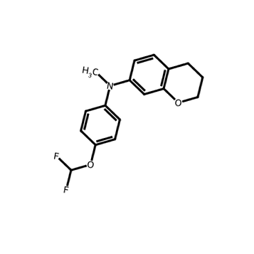 CN(c1ccc(OC(F)F)cc1)c1ccc2c(c1)OCCC2